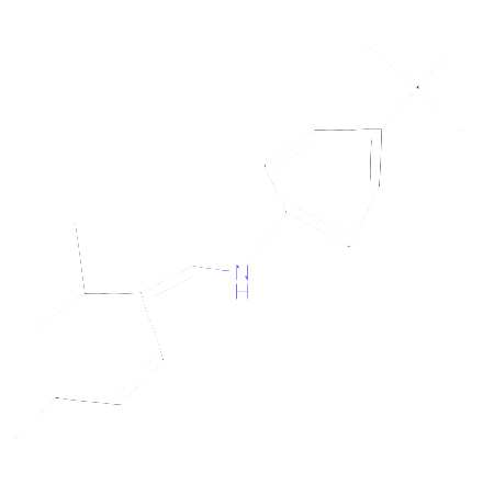 CC/C=C\C(=C/Nc1ccc(C(C)(C)C)cc1)C(C)C